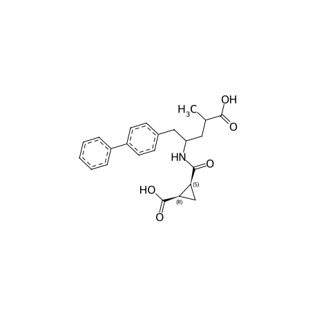 CC(CC(Cc1ccc(-c2ccccc2)cc1)NC(=O)[C@H]1C[C@H]1C(=O)O)C(=O)O